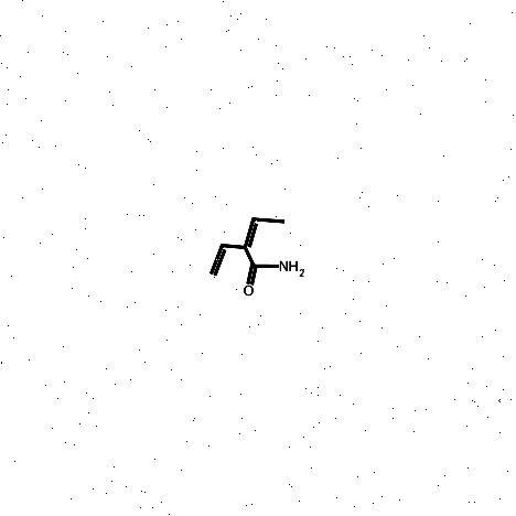 C=CC(=CC)C(N)=O